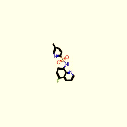 Cc1ccc(S(=O)(=O)Nc2ccc(F)c3cccnc23)nc1